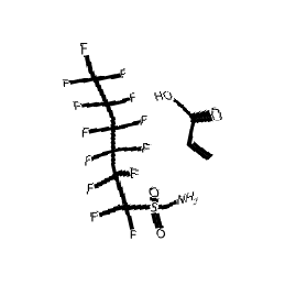 C=CC(=O)O.NS(=O)(=O)C(F)(F)C(F)(F)C(F)(F)C(F)(F)C(F)(F)C(F)(F)F